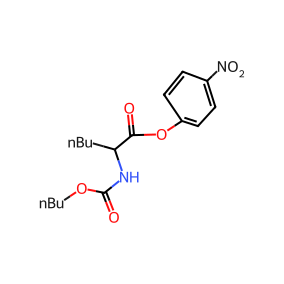 CCCCOC(=O)NC(CCCC)C(=O)Oc1ccc([N+](=O)[O-])cc1